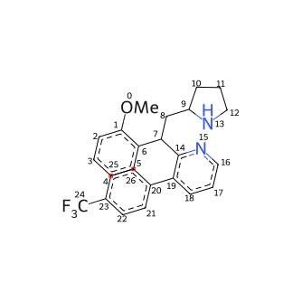 COc1ccccc1C(CC1CCCN1)c1ncccc1-c1ccc(C(F)(F)F)cc1